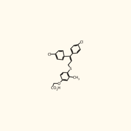 Cc1cc(OCC(=O)O)ccc1SCC=C(c1ccc(Cl)cc1)c1ccc(Cl)cc1